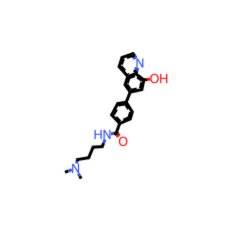 CN(C)CCCCNC(=O)c1ccc(-c2cc(O)c3ncccc3c2)cc1